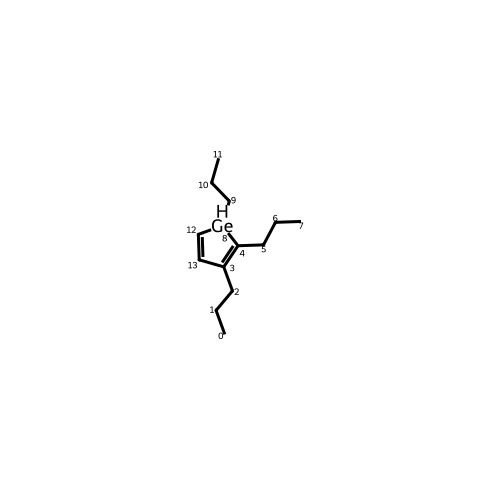 CCCC1=[C](CCC)[GeH]([CH2]CC)[CH]=C1